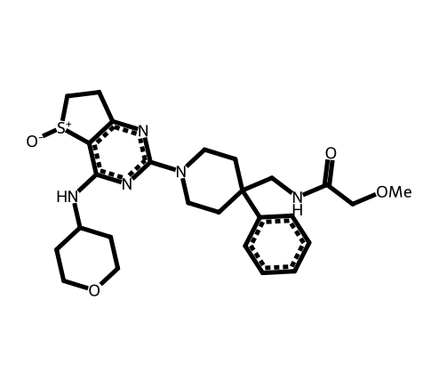 COCC(=O)NCC1(c2ccccc2)CCN(c2nc3c(c(NC4CCOCC4)n2)[S+]([O-])CC3)CC1